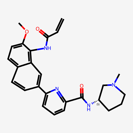 C=CC(=O)Nc1c(OC)ccc2ccc(-c3cccc(C(=O)N[C@H]4CCCN(C)C4)n3)cc12